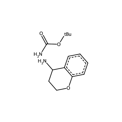 CC(C)(C)OC(N)=O.NC1CCOc2ccccc21